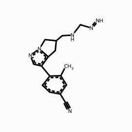 Cc1cc(C#N)ccc1-c1cnn2c1CC(CNCN=N)C2